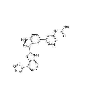 CC(C)(C)C(=O)Nc1cncc(-c2ccc3[nH]nc(-c4nc5c(-c6ccoc6)cccc5[nH]4)c3c2)c1